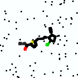 C#C[C@@H]1[C@@H](CCCc2ccc(C(=O)OC)s2)[C@H](Cl)C[C@H]1C